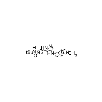 CN1CCN(Cc2cc(Nc3ccnc4[nH]c(C5=CCN(C(=O)NC(C)(C)C)CC5)cc34)ccc2F)CC1